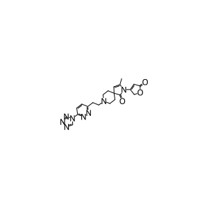 CC1=CC2(CCN(CCc3ccc(-n4cnnn4)nn3)CC2)C(=O)N1C1=CC(=O)OC1